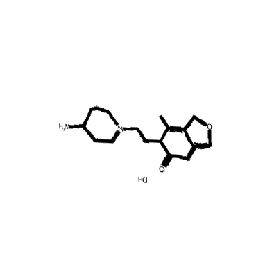 CC1=C2COC=C2CC(=O)C1CCN1CCC(N)CC1.Cl